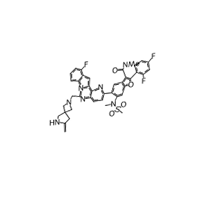 C=C1CC2(CN1)CN(Cc1nc3ccc(-c4cc5c(C(=O)NC)c(-c6ccc(F)cc6F)oc5cc4N(C)S(C)(=O)=O)nc3c3cc4c(F)cccc4n13)C2